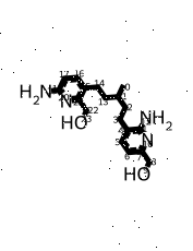 CC(CCc1ccc(CO)nc1N)CCc1ccc(N)nc1CO